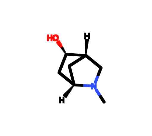 CN1C[C@H]2C[C@@H]1C[C@@H]2O